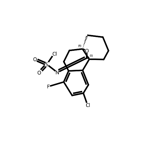 O=S(=O)(Cl)N=C1C[C@]23CCCC[C@]2(CCc2c(F)cc(Cl)cc23)O1